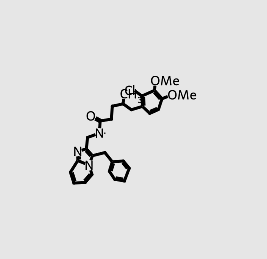 COc1ccc(CC(C)CCC(=O)[N]Cc2nc3ccccn3c2Cc2ccccc2)c(Cl)c1OC